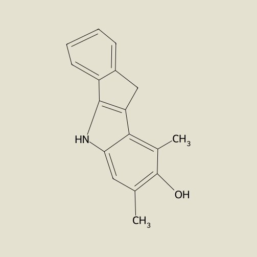 Cc1cc2[nH]c3c(c2c(C)c1O)Cc1ccccc1-3